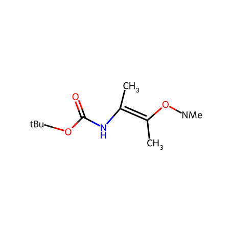 CNO/C(C)=C(\C)NC(=O)OC(C)(C)C